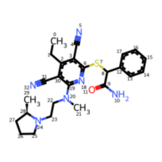 CCc1c(C#N)c(SC(C(N)=O)c2ccccc2)nc(N(C)CCN2CCC[C@H]2C)c1C#N